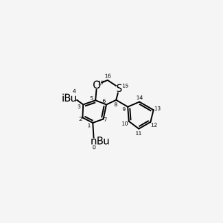 CCCCc1cc(C(C)CC)c2c(c1)C(c1ccccc1)SCO2